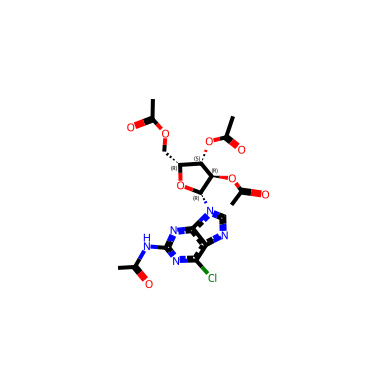 CC(=O)Nc1nc(Cl)c2ncn([C@@H]3O[C@H](COC(C)=O)[C@H](OC(C)=O)[C@H]3OC(C)=O)c2n1